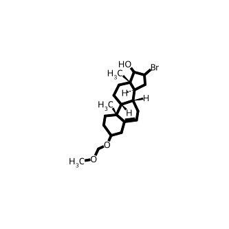 COCOC1CC[C@@]2(C)C(=CC[C@@H]3[C@H]2CC[C@]2(C)C(O)C(Br)C[C@@H]32)C1